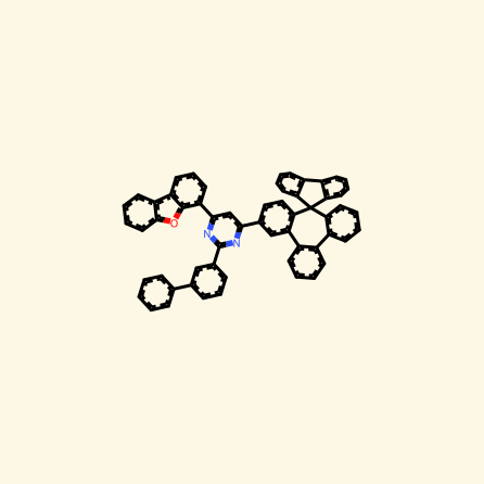 c1ccc(-c2cccc(-c3nc(-c4ccc5c(c4)-c4ccccc4-c4ccccc4C54c5ccccc5-c5ccccc54)cc(-c4cccc5c4oc4ccccc45)n3)c2)cc1